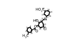 Cc1cccc(C(=O)Oc2cc(Cl)cc(C=Nc3cccc(C(=O)O)c3)c2O)c1